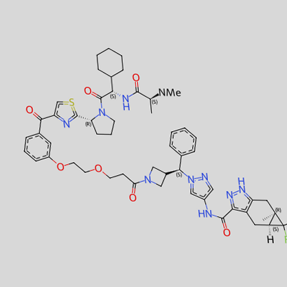 CN[C@@H](C)C(=O)N[C@H](C(=O)N1CCC[C@@H]1c1nc(C(=O)c2cccc(OCCOCCC(=O)N3CC([C@@H](c4ccccc4)n4cc(NC(=O)c5n[nH]c6c5C[C@@H]5C(F)(F)[C@]5(C)C6)cn4)C3)c2)cs1)C1CCCCC1